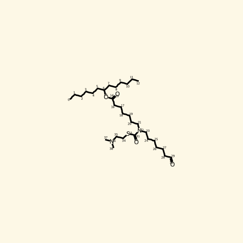 CCCCCCC(CCCCCC)OC(=O)CCCCCCN(CCCCCCC=O)C(=O)SCCN(C)C